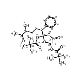 CC(=O)N(O)CCC(c1ccccc1)C(OCOC(=O)C(C)(C)C)(O[PH2]=O)OC(=O)C(C)(C)C